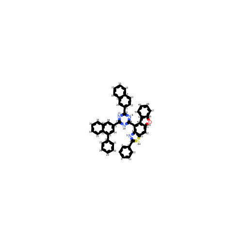 c1ccc(-c2nc3c(-c4nc(-c5ccc6ccccc6c5)nc(-c5cc(-c6ccccc6)c6ccccc6c5)n4)c4c(cc3s2)oc2ccccc24)cc1